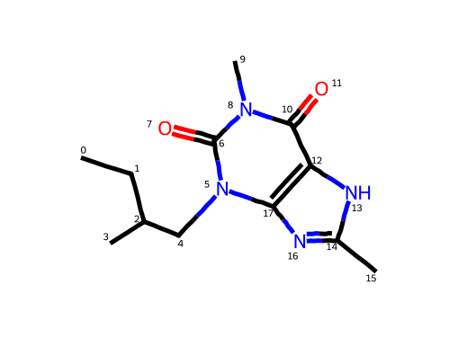 CCC(C)Cn1c(=O)n(C)c(=O)c2[nH]c(C)nc21